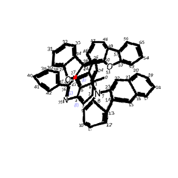 CC1C/C=C(c2c(-n3c4ccccc4c4cc5ccccc5cc43)ccc3c2oc2ccccc23)/N=C(c2ccccc2)\N=C/1c1cccc2c1oc1ccccc12